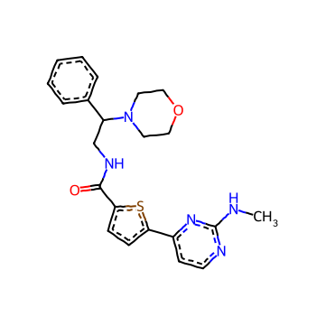 CNc1nccc(-c2ccc(C(=O)NCC(c3ccccc3)N3CCOCC3)s2)n1